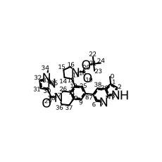 Cc1c[nH]c2ncc(-c3cc4c(c(C5CCCN5C(=O)OC(C)(C)C)c3)CN(C(=O)c3ccn(C)n3)CC4)cc12